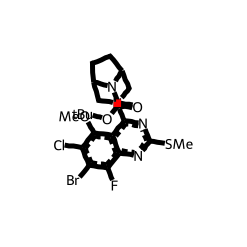 COc1c(Cl)c(Br)c(F)c2nc(SC)nc(N3CC4CCC(C3)N4C(=O)OC(C)(C)C)c12